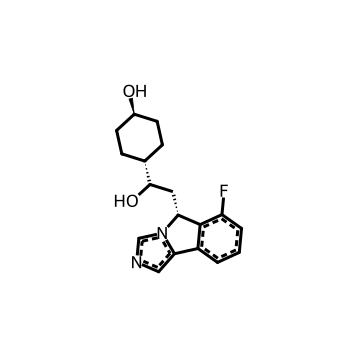 OC(C[C@@H]1c2c(F)cccc2-c2cncn21)[C@H]1CC[C@H](O)CC1